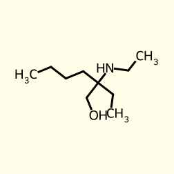 CCCCC(CC)(CO)NCC